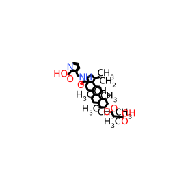 C=C(C)C1CCC2(C(=O)NCc3cccnc3C(=O)O)CC[C@]3(C)C(CCC4C5(C)CCC(OC(=O)CC(C)(C)C(=O)O)C(C)(C)C5CCC43C)C12